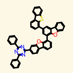 c1ccc(-c2nc(-c3ccccc3)nc(-c3ccc4c(c3)oc3c(-c5cc(-c6cccc7c6sc6ccccc67)cc6c5oc5ccccc56)cccc34)n2)cc1